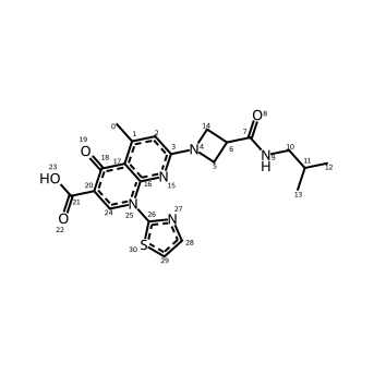 Cc1cc(N2CC(C(=O)NCC(C)C)C2)nc2c1c(=O)c(C(=O)O)cn2-c1nccs1